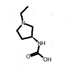 CCN1CC[C@H](NC(=O)O)C1